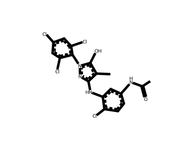 CC(=O)Nc1ccc(Cl)c(Nc2nn(-c3c(Cl)cc(Cl)cc3Cl)c(O)c2C)c1